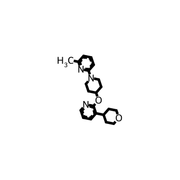 Cc1cccc(N2CCC(Oc3ncccc3C3CCOCC3)CC2)n1